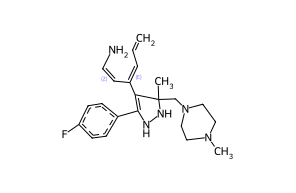 C=C/C=C(\C=C/N)C1=C(c2ccc(F)cc2)NNC1(C)CN1CCN(C)CC1